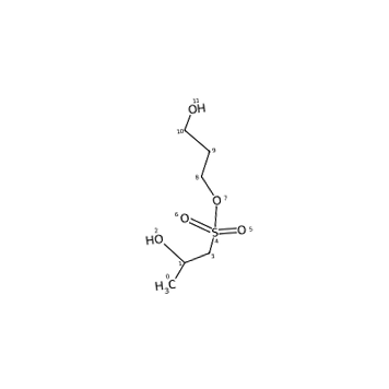 CC(O)CS(=O)(=O)OCCCO